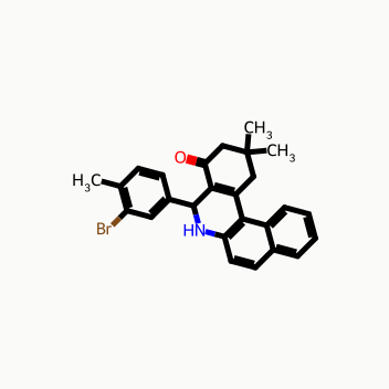 Cc1ccc(C2Nc3ccc4ccccc4c3C3=C2C(=O)CC(C)(C)C3)cc1Br